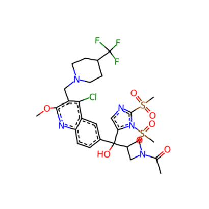 COc1nc2ccc(C(O)(c3cnc(S(C)(=O)=O)n3S(C)(=O)=O)C3CN(C(C)=O)C3)cc2c(Cl)c1CN1CCC(C(F)(F)F)CC1